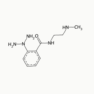 CNCCNC(=O)c1ccccc1N(N)N